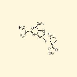 COC(=O)c1nc(O[C@H]2CCN(C(=O)OC(C)(C)C)C2)c(F)cc1N=CN(C)C